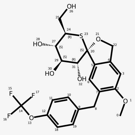 COc1cc2c(cc1Cc1ccc(OC(F)(F)F)cc1)[C@]1(OC2)S[C@H](CO)[C@@H](O)[C@H](O)[C@H]1O